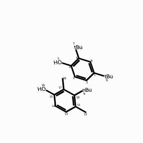 CC(C)(C)c1ccc(O)c(C(C)(C)C)c1.CCCCc1c(C)ccc(O)c1C